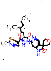 CCC[C@H](C)CC[C@H](NC(=O)c1cnc(C)s1)C(=O)Nc1cc2c(cn1)C1(CCOCC1)C(=O)N2